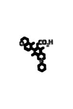 Cc1c(-c2c(C)c3c(c(C)c2CC(=O)O)CCN(C2CCCCC2)C3)ccc2c1CCCO2